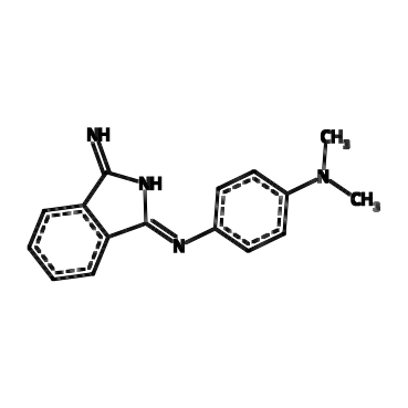 CN(C)c1ccc(N=C2NC(=N)c3ccccc32)cc1